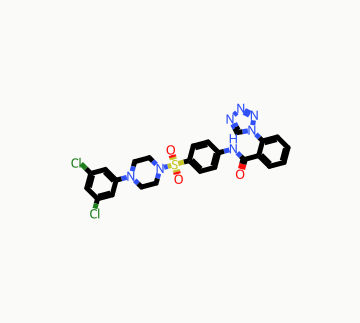 O=C(Nc1ccc(S(=O)(=O)N2CCN(c3cc(Cl)cc(Cl)c3)CC2)cc1)c1ccccc1-n1cnnn1